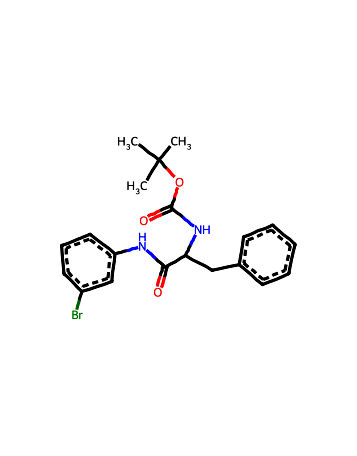 CC(C)(C)OC(=O)NC(Cc1ccccc1)C(=O)Nc1cccc(Br)c1